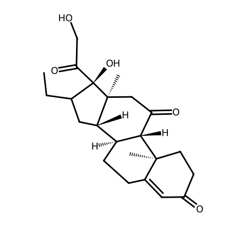 CCC1C[C@H]2[C@@H]3CCC4=CC(=O)CC[C@]4(C)[C@H]3C(=O)C[C@]2(C)[C@@]1(O)C(=O)CO